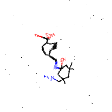 CC1(C)CC(C)(CN)CC(O)(N=C=C2C=CC(C(=O)O)C=C2)C1